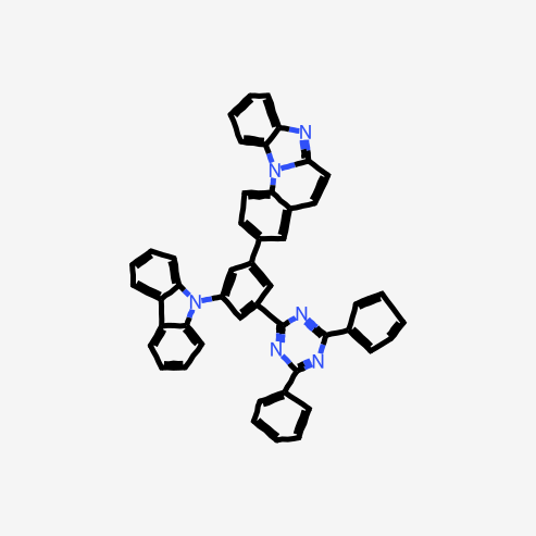 c1ccc(-c2nc(-c3ccccc3)nc(-c3cc(-c4ccc5c(ccc6nc7ccccc7n65)c4)cc(-n4c5ccccc5c5ccccc54)c3)n2)cc1